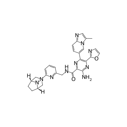 Cc1cnc2ccc(-c3nc(C(=O)NCc4cccc(N5C[C@H]6CC[C@@H](C5)N6C)n4)c(N)nc3-c3ncco3)cn12